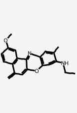 C=c1cc2c(c3cc(OC)ccc13)=Nc1cc(C)c(NCC)cc1O2